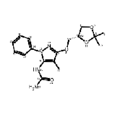 Cc1c(OC[C@@H]2COC(C)(C)O2)nn(-c2ccccc2)c1NC(N)=O